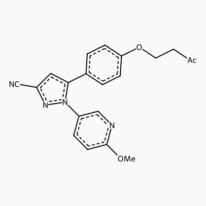 COc1ccc(-n2nc(C#N)cc2-c2ccc(OCCC(C)=O)cc2)cn1